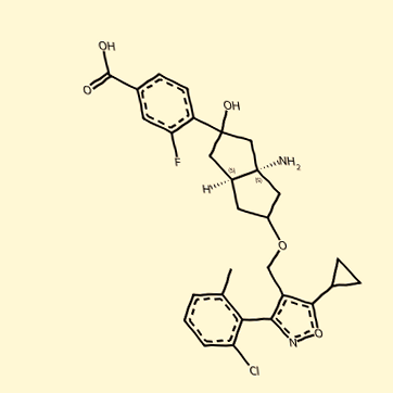 Cc1cccc(Cl)c1-c1noc(C2CC2)c1COC1C[C@H]2CC(O)(c3ccc(C(=O)O)cc3F)C[C@@]2(N)C1